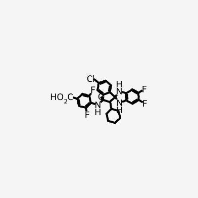 O=C(O)c1cc(F)c(NC(=O)C(C2CCCCC2)C2(c3ccc(Cl)cc3)Nc3cc(F)c(F)cc3N2)c(F)c1